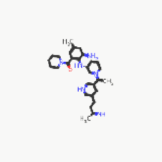 C=C(C1CNCC(CCC(C)=N)C1)N1CCC[C@@H](NC2=C(C(=O)N3CCCCC3)C=C(C)CC2N)C1